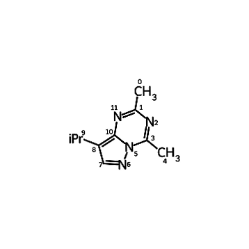 Cc1nc(C)n2ncc(C(C)C)c2n1